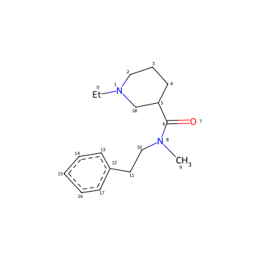 CCN1CCCC(C(=O)N(C)CCc2ccccc2)C1